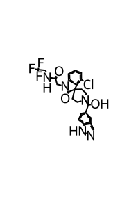 O=C(CN1C(=O)C2(CCN(C(O)c3ccc4[nH]ncc4c3)CC2)c2c(Cl)cccc21)NCC(F)(F)F